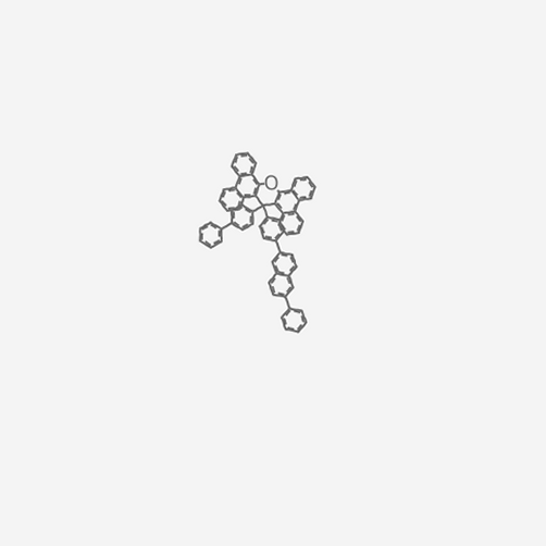 c1ccc(-c2ccc(C3(c4ccc(-c5ccc6cc(-c7ccccc7)ccc6c5)cc4)c4c(c5ccccc5c5ccccc45)Oc4c3c3ccccc3c3ccccc43)cc2)cc1